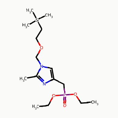 CCOP(=O)(Cc1cn(COCC[Si](C)(C)C)c(C)n1)OCC